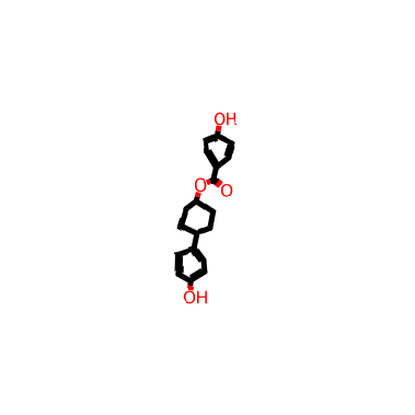 O=C(OC1CCC(c2ccc(O)cc2)CC1)c1ccc(O)cc1